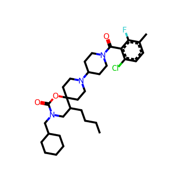 CCCCC1CN(CC2CCCCC2)C(=O)OC12CCN(C1CCN(C(=O)c3c(Cl)ccc(C)c3F)CC1)CC2